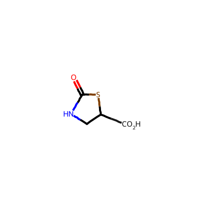 O=C1NCC(C(=O)O)S1